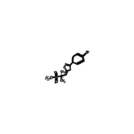 CCOC(=O)[C@@](C)(CC1CC(c2ccc(Br)cc2)=NO1)S(C)(=O)=O